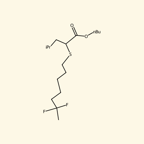 CCCCOC(=O)C(CC(C)C)SCCCCCC(C)(F)F